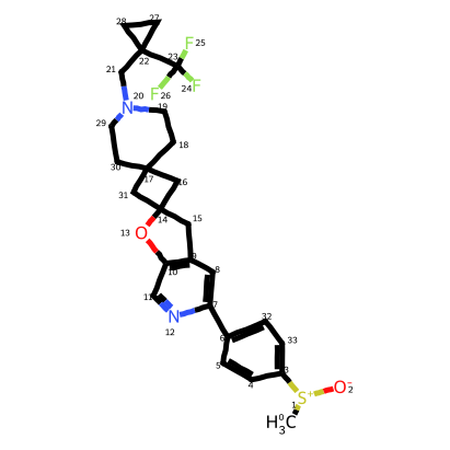 C[S+]([O-])c1ccc(-c2cc3c(cn2)OC2(C3)CC3(CCN(CC4(C(F)(F)F)CC4)CC3)C2)cc1